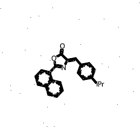 CC(C)c1ccc(C=C2N=C(c3cccc4ccccc34)OC2=O)cc1